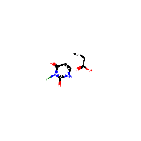 CCC(=O)O.O=c1cc[nH]c(=O)n1F